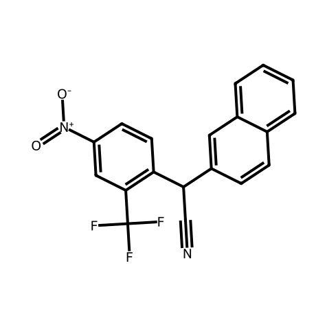 N#CC(c1ccc2ccccc2c1)c1ccc([N+](=O)[O-])cc1C(F)(F)F